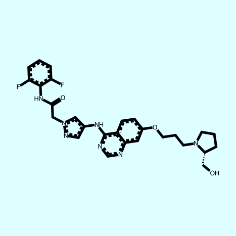 O=C(Cn1cc(Nc2ncnc3cc(OCCCN4CCC[C@@H]4CO)ccc23)cn1)Nc1c(F)cccc1F